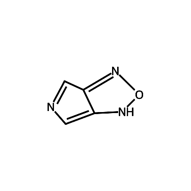 c1ncc2[nH]onc1-2